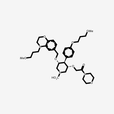 COCCCOc1ccc([C@@H]2[C@@H](OCc3ccc4c(c3)N(CCCOC)CCO4)CN(C(=O)O)C[C@H]2OCC(=O)N2CCOCC2)cc1